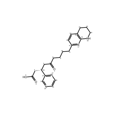 O=C(O)C[C@H](CC(=O)CCCCc1ccc2c(n1)NCCC2)c1cnccn1